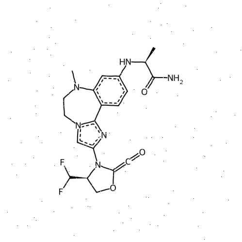 C[C@H](Nc1ccc2c(c1)N(C)CCn1cc(N3C(=C=O)OC[C@H]3C(F)F)nc1-2)C(N)=O